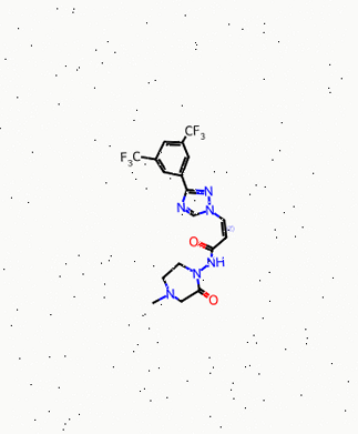 CN1CCN(NC(=O)/C=C\n2cnc(-c3cc(C(F)(F)F)cc(C(F)(F)F)c3)n2)C(=O)C1